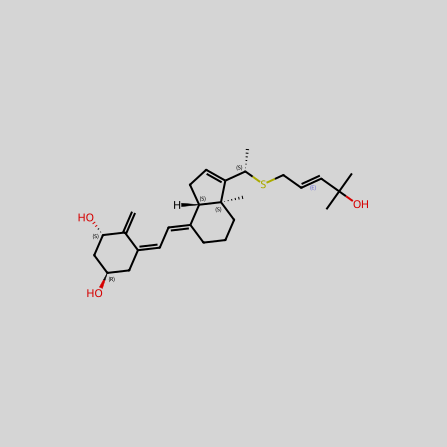 C=C1C(=CC=C2CCC[C@]3(C)C([C@H](C)SC/C=C/C(C)(C)O)=CC[C@@H]23)C[C@@H](O)C[C@@H]1O